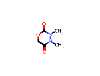 CN1C(=O)COC(=O)N1C